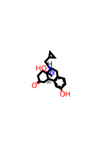 O=C1CCC2(O)[C@H]3Cc4ccc(O)cc4[C@@]2(CCN3CC2CC2)C1